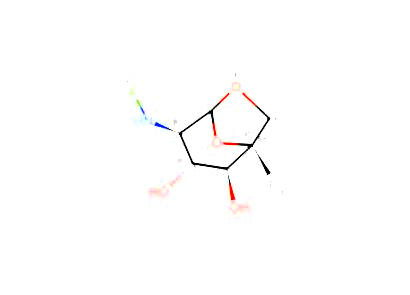 O[C@H]1[C@H](O)[C@@H](NF)C2OC[C@H]1O2